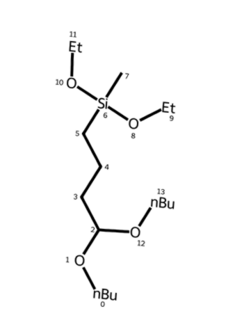 CCCCOC(CCC[Si](C)(OCC)OCC)OCCCC